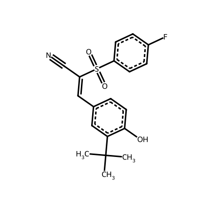 CC(C)(C)c1cc(/C=C(/C#N)S(=O)(=O)c2ccc(F)cc2)ccc1O